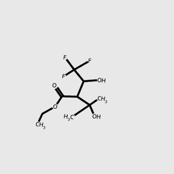 CCOC(=O)C(C(O)C(F)(F)F)C(C)(C)O